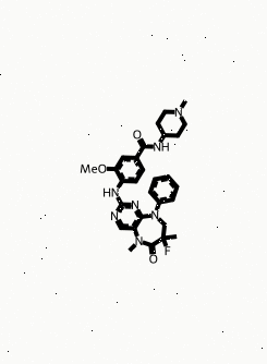 COc1cc(C(=O)NC2CCN(C)CC2)ccc1Nc1ncc2c(n1)N(c1ccccc1)CC(C)(F)C(=O)N2C